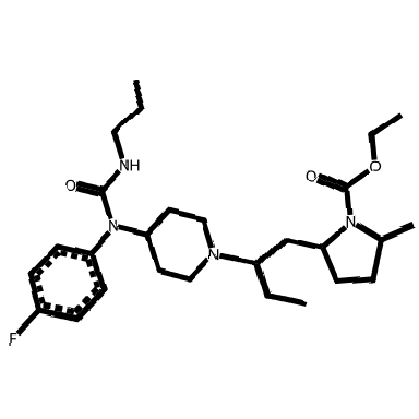 CCCNC(=O)N(c1ccc(F)cc1)C1CCN(C(CC)CC2CCC(C)N2C(=O)OCC)CC1